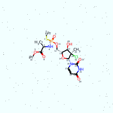 CCCS[P@](=O)(N[C@H](C)C(=O)OC(C)C)OC[C@H]1O[C@@H](n2ccc(=O)[nH]c2=O)[C@](C)(Cl)[C@@H]1O